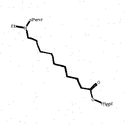 CCCCCCCOC(=O)CCCCCCCCCN(CC)CCCCC